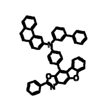 c1ccc(-c2cccc(N(c3ccc(-c4c5oc(-c6ccccc6)nc5cc5oc6ccccc6c45)cc3)c3ccc4ccc5ccccc5c4c3)c2)cc1